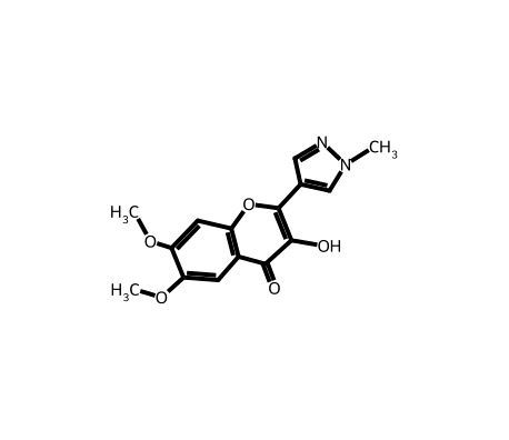 COc1cc2oc(-c3cnn(C)c3)c(O)c(=O)c2cc1OC